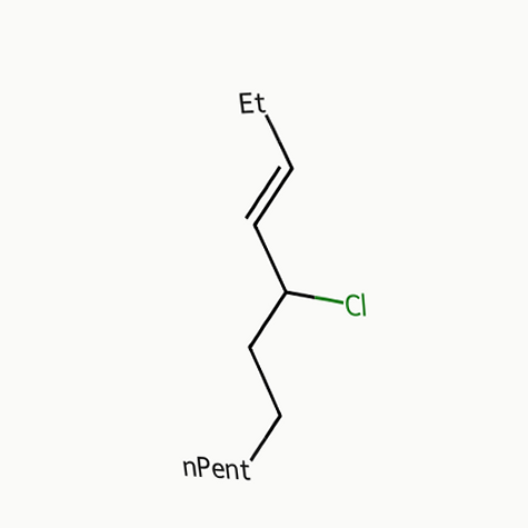 CC/C=C/C(Cl)CCCCCCC